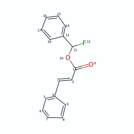 O=C(C=Cc1ccccc1)OC(F)c1ccccc1